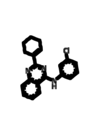 Clc1cccc(Nc2nc(C3=CCCCC3)nc3ccccc23)c1